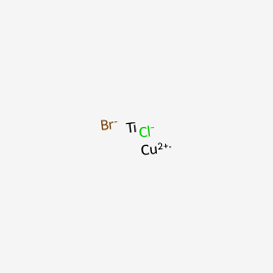 [Br-].[Cl-].[Cu+2].[Ti]